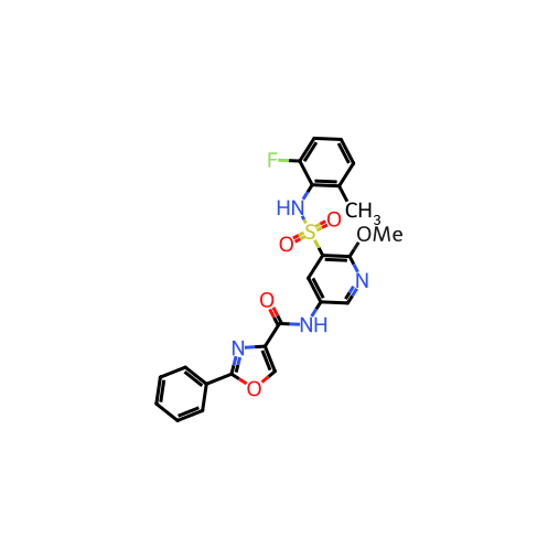 COc1ncc(NC(=O)c2coc(-c3ccccc3)n2)cc1S(=O)(=O)Nc1c(C)cccc1F